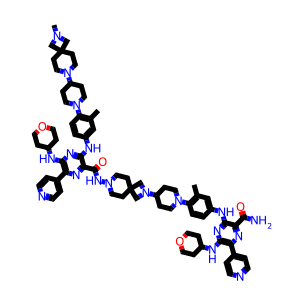 Cc1cc(Nc2nc(NC3CCOCC3)c(-c3ccncc3)nc2C(=O)NN2CCC3(CC2)CN(C2CCN(c4ccc(Nc5nc(NC6CCOCC6)c(-c6ccncc6)nc5C(N)=O)cc4C)CC2)C3)ccc1N1CCC(N2CCC3(CC2)CN(C)C3)CC1